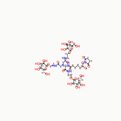 O=C(CN(CC(=O)NCCO[C@H]1O[C@H](CO)[C@@H](O)[C@H](O)[C@@H]1O)C(NC(=O)CCCCC(=O)ON1C(=O)CCC1=O)C(=O)NCCO[C@H]1O[C@H](CO)[C@@H](O)[C@H](O)[C@@H]1O)NCCO[C@H]1O[C@H](CO)[C@@H](O)[C@H](O)[C@@H]1O